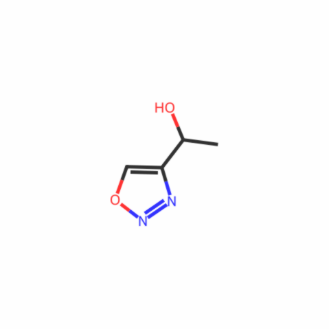 CC(O)c1conn1